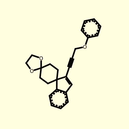 C(#CC1=Cc2ccccc2C12CCC1(CC2)OCCO1)COc1ccccc1